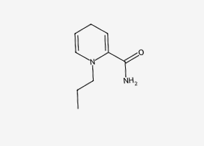 CCCN1C=CCC=C1C(N)=O